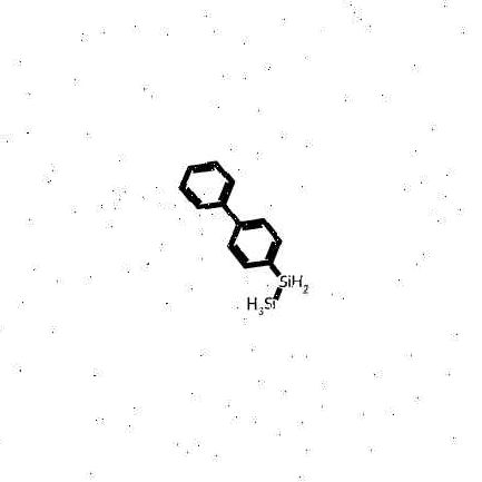 [SiH3][SiH2]c1ccc(-c2ccccc2)cc1